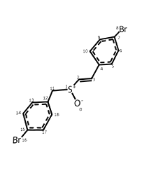 [O-][S+](C=Cc1ccc(Br)cc1)Cc1ccc(Br)cc1